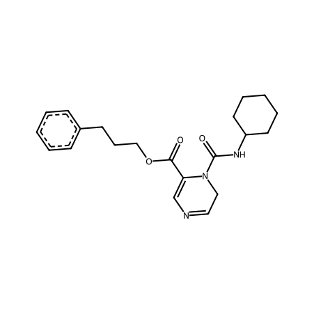 O=C(OCCCc1ccccc1)C1=CN=CCN1C(=O)NC1CCCCC1